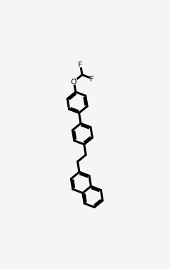 FC(F)Oc1ccc(-c2ccc(CCc3ccc4ccccc4c3)cc2)cc1